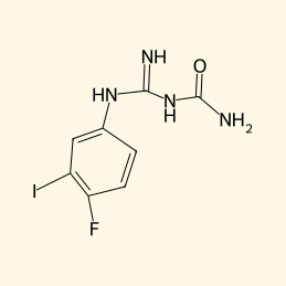 N=C(NC(N)=O)Nc1ccc(F)c(I)c1